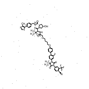 Cc1ncsc1-c1ccc(CNC(=O)[C@@H]2C[C@@H](O)CN2C(=O)C(NC(=O)COCCCCOc2ccc(-c3ccc(N4C(=S)N(c5ccc(C#N)c(C(F)(F)F)c5)C(=O)C4(C)C)cc3F)cc2)C(C)(C)C)cc1